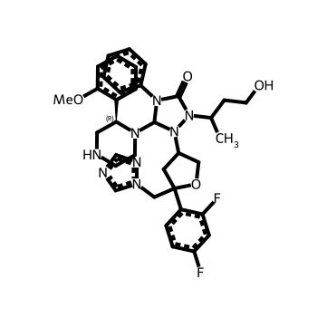 COc1ccccc1[C@@H]1CNCCN1C1N(c2ccccc2)C(=O)N(C(C)CCO)N1C1COC(Cn2cncn2)(c2ccc(F)cc2F)C1